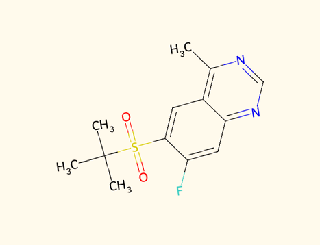 Cc1ncnc2cc(F)c(S(=O)(=O)C(C)(C)C)cc12